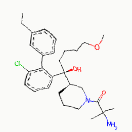 CCc1cccc(-c2c(Cl)cccc2[C@](O)(CCCCOC)[C@@H]2CCCN(C(=O)C(C)(C)N)C2)c1